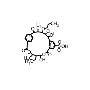 CCCOC1C(C)C(=O)c2ccc(cc2)C(=O)OC(C)C(CC)C(C)OC(=O)c2cc(cc(S(=O)(=O)O)c2)C(=O)C1C